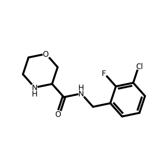 O=C(NCc1cccc(Cl)c1F)C1COCCN1